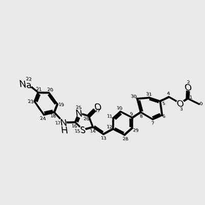 CC(=O)OCc1ccc(-c2ccc(C=C3SC(Nc4cc[c]([Na])cc4)=NC3=O)cc2)cc1